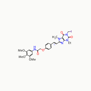 CCn1c(=O)n(CI)c(=O)c2c1nc(/C=C/c1ccc(OCC(=O)Nc3cc(OC)c(OC)c(OC)c3)cc1)n2C